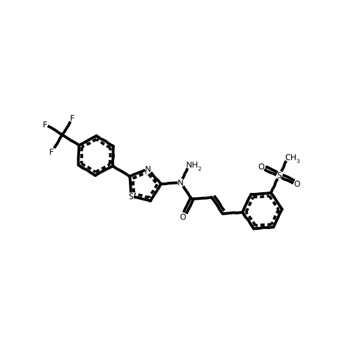 CS(=O)(=O)c1cccc(C=CC(=O)N(N)c2csc(-c3ccc(C(F)(F)F)cc3)n2)c1